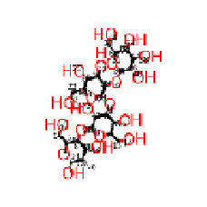 C[C@@H]1C(O)OC(CO)[C@@H](O[C@@H]2OC(CO)[C@@H](O)[C@@H](O[C@H]3O[C@@H](CO)[C@@H](O)C(O)C3O[C@H]3O[C@@H](CO)[C@@H](O)C(O)C3O)C2O)[C@H]1O